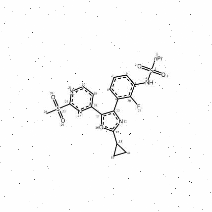 CCCS(=O)(=O)Nc1cccc(-c2nc(C3CC3)oc2-c2ccnc(S(C)(=O)=O)n2)c1F